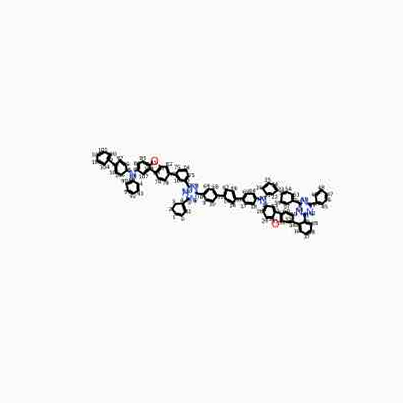 C1=CCCC(c2nc(-c3ccc(-c4ccc(-c5ccc(N(c6ccccc6)c6ccc7oc8cc(-c9ccccc9-c9nc(-c%10ccccc%10)nc(-c%10ccccc%10)n9)ccc8c7c6)cc5)cc4)cc3)nc(-c3cccc(-c4ccc5c(c4)oc4ccc(N(c6ccccc6)C6C=CC(c7ccccc7)=CC6)cc45)c3)n2)=C1